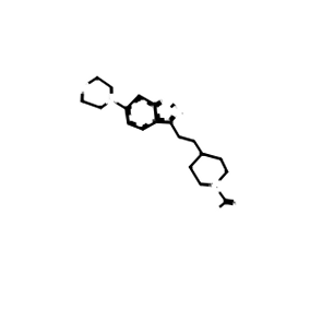 O=C(O)N1CCC(CCc2noc3cc(N4CCOCC4)ccc23)CC1